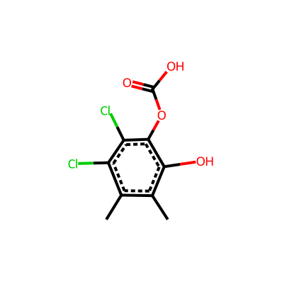 Cc1c(C)c(Cl)c(Cl)c(OC(=O)O)c1O